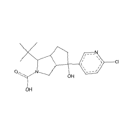 CC(C)(C)C1C2CCC(O)(c3ccc(Cl)nc3)C2CN1C(=O)O